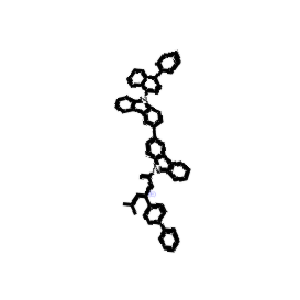 C=C(/C=C(\C=C(C)C)c1ccc(-c2ccccc2)cc1)n1c2ccccc2c2cc(-c3ccc4c(c3)c3ccccc3n4-c3ccc(-c4ccccc4)c4ccccc34)ccc21